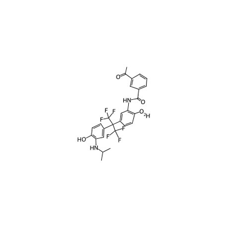 [2H]Oc1ccc(C(c2ccc(O)c(NC(C)C)c2)(C(F)(F)F)C(F)(F)F)cc1NC(=O)c1cccc(C(C)=O)c1